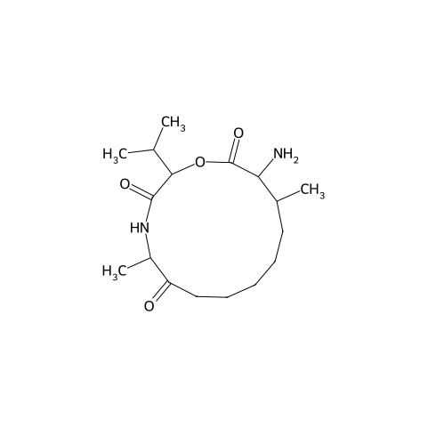 CC1NC(=O)C(C(C)C)OC(=O)C(N)C(C)CCCCCC1=O